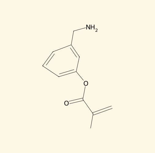 C=C(C)C(=O)Oc1cccc(CN)c1